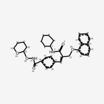 O=C(NC1CCCCC1)C(=Cc1ccc(C(=O)NOC2CCCCO2)cc1)COc1cccc2ccccc12